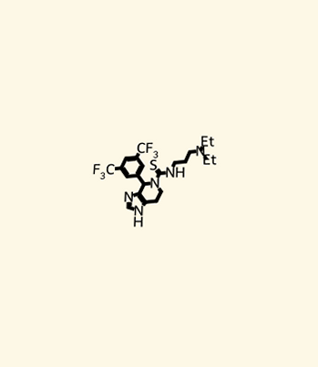 CCN(CC)CCCNC(=S)N1CCc2[nH]cnc2C1c1cc(C(F)(F)F)cc(C(F)(F)F)c1